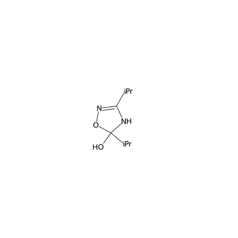 CC(C)C1=NOC(O)(C(C)C)N1